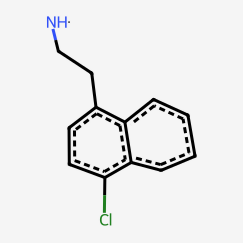 [NH]CCc1ccc(Cl)c2ccccc12